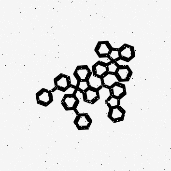 c1ccc(-c2cccc(C3(c4cccc(-c5ccccc5)c4)c4ccccc4-c4c(N(c5cccc6c5-c5ccccc5C65c6ccccc6-c6ccccc65)c5cccc6c5sc5ccccc56)cccc43)c2)cc1